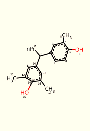 CCCC(c1ccc(O)c(C)c1)c1cc(C)c(O)c(C)c1